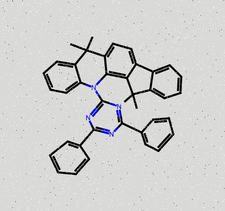 CC1(C)c2ccccc2N(c2nc(-c3ccccc3)nc(-c3ccccc3)n2)c2c1ccc1c2C(C)(C)c2ccccc2-1